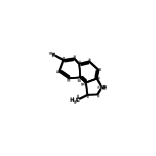 CC1CNc2ccc3cc(F)ccc3c21